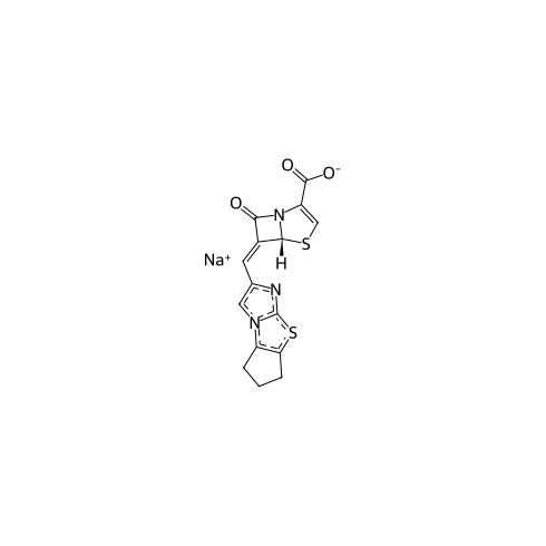 O=C([O-])C1=CS[C@@H]2/C(=C\c3cn4c5c(sc4n3)CCC5)C(=O)N12.[Na+]